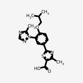 Cc1nc(-c2ccc(OCC(C)C)c(-n3ncnc3C)c2)sc1C(=O)O